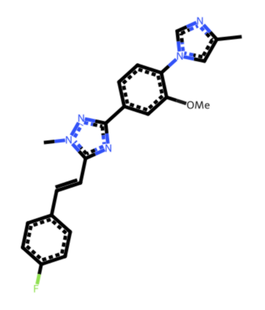 COc1cc(-c2nc(C=Cc3ccc(F)cc3)n(C)n2)ccc1-n1cnc(C)c1